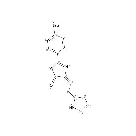 CC(C)(C)c1ccc(C2=N/C(=C/Cc3ccc[nH]3)C(=O)O2)cc1